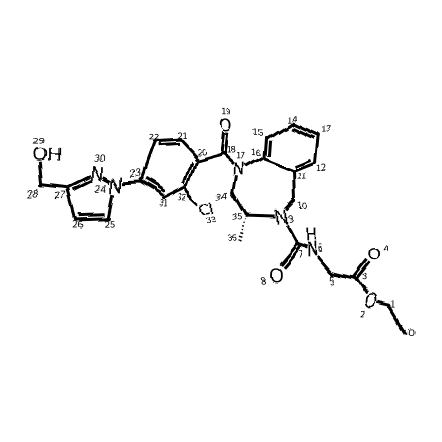 CCOC(=O)CNC(=O)N1Cc2ccccc2N(C(=O)c2ccc(-n3ccc(CO)n3)cc2Cl)C[C@H]1C